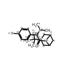 CN(C)C(C(=O)N1C2CC1CN(C(C)(C)C)C2)c1ccc(F)cc1